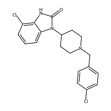 O=c1[nH]c2c(Cl)cccc2n1C1CCN(Cc2ccc(Cl)cc2)CC1